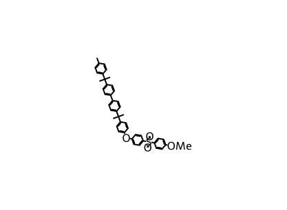 COc1ccc(S(=O)(=O)c2ccc(Oc3ccc(C(C)(C)c4ccc(-c5ccc(C(C)(C)c6ccc(C)cc6)cc5)cc4)cc3)cc2)cc1